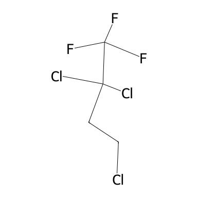 FC(F)(F)C(Cl)(Cl)CCCl